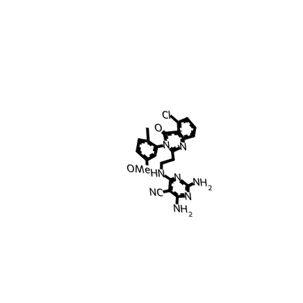 COc1ccc(C)c(-n2c(CCNc3nc(N)nc(N)c3C#N)nc3cccc(Cl)c3c2=O)c1